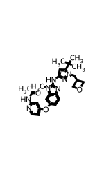 CC(=O)Nc1cc(Oc2ccc3nc(Nc4cc(C(C)(C)C)n(CC5COC5)n4)n(C)c3c2)ccn1